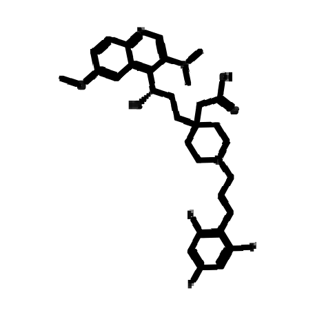 COc1ccc2ncc(N(C)C)c([C@@H](O)CCC3(CC(=O)O)CCN(CCCc4c(F)cc(F)cc4F)CC3)c2c1